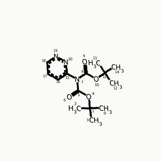 CC(C)(C)OC(=O)N(C(=O)OC(C)(C)C)c1cccnn1